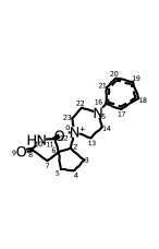 C[N+]1(C2CCCC23CC(=O)NC3=O)CCN(c2ccccc2)CC1